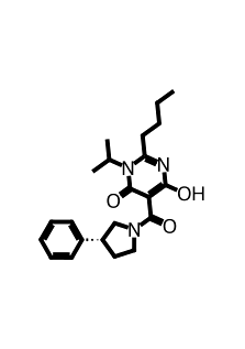 CCCCc1nc(O)c(C(=O)N2CC[C@H](c3ccccc3)C2)c(=O)n1C(C)C